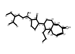 CCCC1C(C2CCC([C@H](C)CCC(CC)C(C)C)C2C)CCC2=CC(=O)C=CCC21C